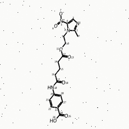 Cc1ncc([N+](=O)[O-])n1CCOC(=O)CCCC(=O)Nc1ccc(C(=O)O)cc1